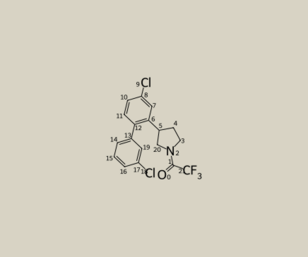 O=C(N1CCC(c2cc(Cl)ccc2-c2cccc(Cl)c2)C1)C(F)(F)F